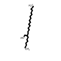 CCCCCCCCCCCCCCCCC(CO)CCCCCCC